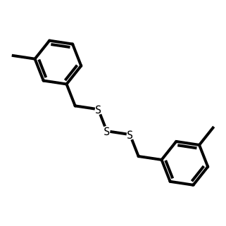 Cc1cccc(CSSSCc2cccc(C)c2)c1